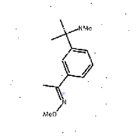 CNC(C)(C)c1cccc(/C(C)=N/OC)c1